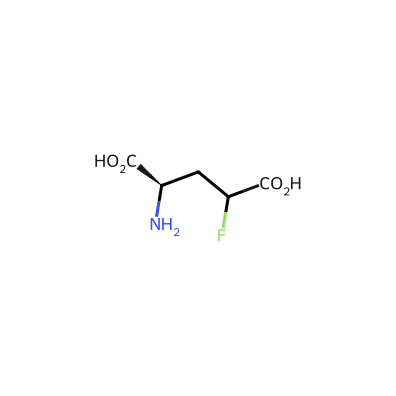 N[C@H](CC(F)C(=O)O)C(=O)O